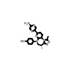 Cc1nnc2n1-c1ccc(-c3cnc(N)cn3)nc1N(c1ccc(C#N)cc1)C[C@H]2C